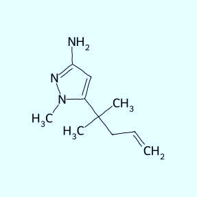 C=CCC(C)(C)c1cc(N)nn1C